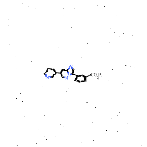 O=C(O)c1cccc(-c2cnc3cc(-c4cccnc4)cnn23)c1